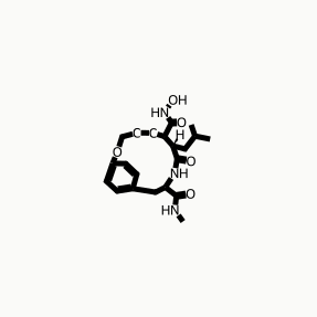 CNC(=O)C1Cc2ccc(cc2)OCCCC(C(=O)NO)[C@@H](CC(C)C)C(=O)N1